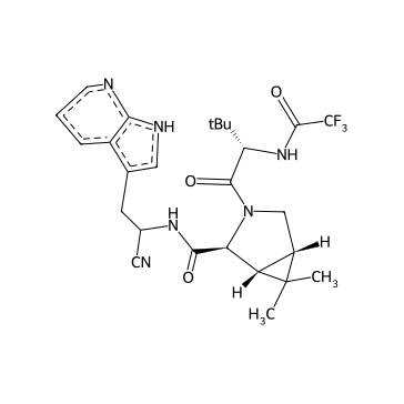 CC(C)(C)[C@H](NC(=O)C(F)(F)F)C(=O)N1C[C@H]2[C@@H]([C@H]1C(=O)NC(C#N)Cc1c[nH]c3ncccc13)C2(C)C